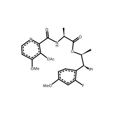 COc1ccc([C@H](C(C)C)[C@H](C)OC(=O)[C@H](C)NC(=O)c2nccc(OC)c2OC(C)=O)c(F)c1